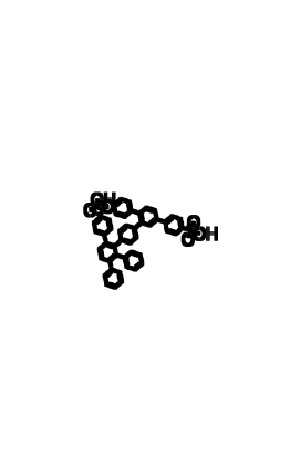 O=S(=O)(O)c1ccc(-c2ccc(-c3ccccc3)c(-c3ccc(-c4c(-c5ccc(S(=O)(=O)O)cc5)ccc(-c5ccccc5)c4-c4ccccc4)cc3)c2)cc1